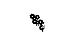 Cc1ccc(-c2c(C)ccc3c2oc2ccc4c(c23)C2(CCCC2)c2ccccc2-4)nc1